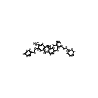 Cc1cc(Nc2ncnc3cc(OCCN4CCOCC4)c([N+](=O)[O-])cc23)c(F)cc1OCc1ccccn1